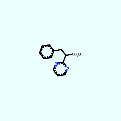 CCOC(=O)C(Cc1ccccc1)c1ncccn1